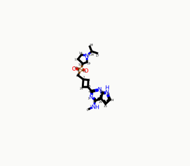 CNc1nc(C2CC(CS(=O)(=O)C3CCN(C(C)C)C3)C2)nc2[nH]ccc12